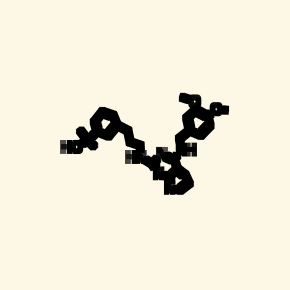 COc1ccc(CNc2nc(NCCCc3cccc(C(C)(C)O)c3)nc3ncccc23)cc1OC